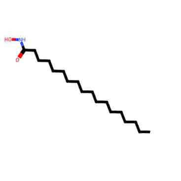 CCCCCCCCCCCCCCCCCC(=O)NO